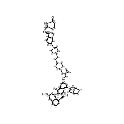 C#Cc1cccc2cc(O)cc(-c3ncc4c(N5CC6CCC(C5)N6)nc(OCC5(CN6CCN(CCN7CCN(c8ccc9c(c8)CN([C@H]8CCC(=O)NC8=O)C9=O)CC7)CC6)CC5)nc4c3F)c12